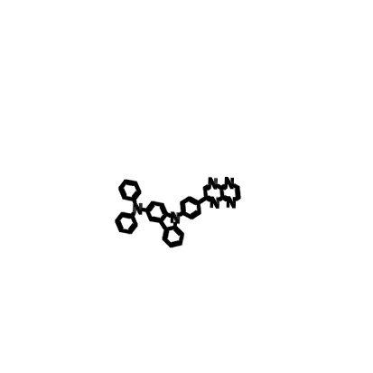 c1ccc(N(c2ccccc2)c2ccc3c(c2)c2ccccc2n3-c2ccc(-c3cnc4nccnc4n3)cc2)cc1